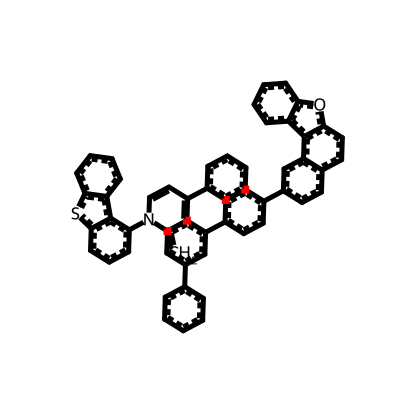 C=C/C=C(\C=C/N(c1cc(-c2ccccc2)cc(-c2ccc(-c3ccc4ccc5oc6ccccc6c5c4c3)cc2)c1)c1cccc2sc3ccccc3c12)c1ccccc1